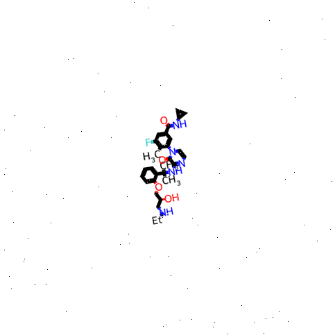 CCNC[C@H](O)COc1ccccc1C(C)(C)Nc1nccn(-c2cc(C(=O)NC3CC3)cc(F)c2C)c1=O